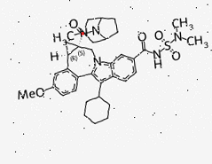 COc1ccc2c(c1)[C@H]1C[C@@]1(C(=O)N1C3CCC1CN(C)C3)Cn1c-2c(C2CCCCC2)c2ccc(C(=O)NS(=O)(=O)N(C)C)cc21